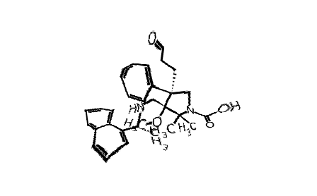 CO[C@@]1(CN[C@H](C)c2cccc3ccccc23)C(C)(C)N(C(=O)O)C[C@]1(CCC=O)c1ccccc1